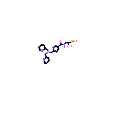 O=C(NCC(O)CO)c1ccc(CN(Cc2ccccn2)Cc2ccccn2)nc1